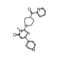 Cn1c(N2CCC(C(=O)c3ccccn3)CC2)nc(-c2ccncc2)cc1=O